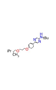 CC(C)[C@@H](C)COCCCOC1=CC=C(c2cnc(NC(C)(C)C)cn2)CC1